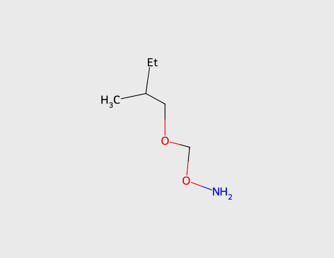 CCC(C)COCON